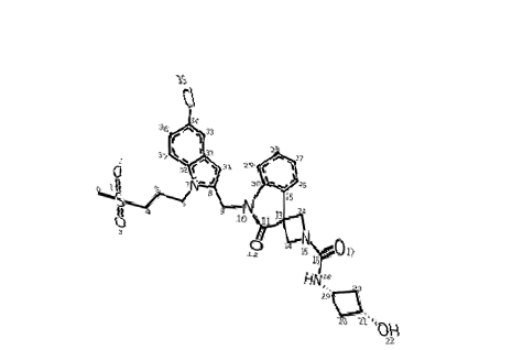 CS(=O)(=O)CCCn1c(CN2C(=O)C3(CN(C(=O)N[C@H]4C[C@@H](O)C4)C3)c3ccccc32)cc2cc(Cl)ccc21